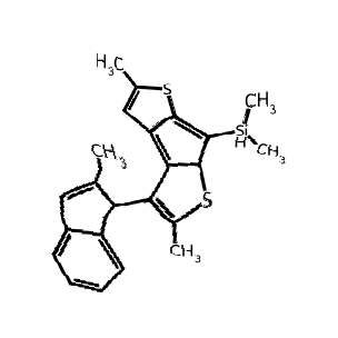 CC1=Cc2ccccc2C1C1=C(C)SC2C1=c1cc(C)sc1=C2[SiH](C)C